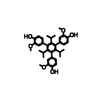 COc1cc(-c2c(C(C)C)c(-c3ccc(O)c(OC)c3)c(C(C)C)c(-c3ccc(O)c(OC)c3)c2C(C)C)ccc1O